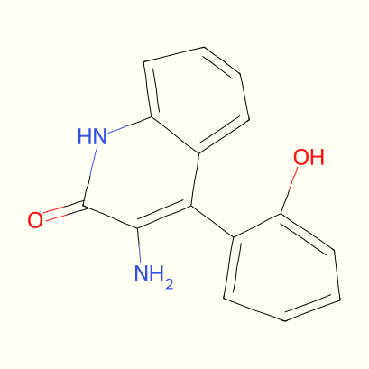 Nc1c(-c2ccccc2O)c2ccccc2[nH]c1=O